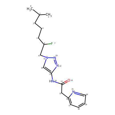 C[C](C)CCCC(F)Cn1cc(NC(=O)Cc2ccccn2)nn1